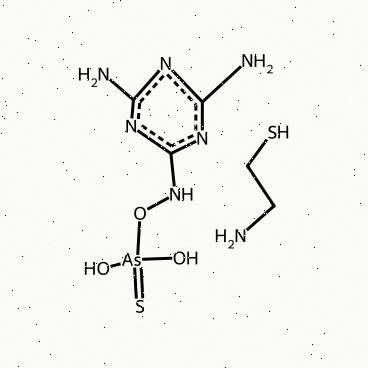 NCCS.Nc1nc(N)nc(NO[As](O)(O)=S)n1